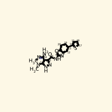 C=Nc1[nH]nc(C(=O)Nc2nc3cc(-c4cccs4)ccc3o2)c1/C(N)=N\C